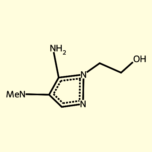 CNc1cnn(CCO)c1N